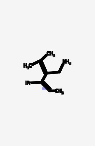 C/C=C(\C(CN)=C(C)C)C(C)C